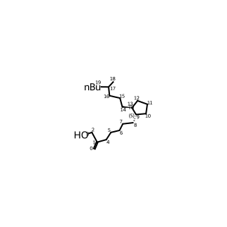 C=C(CO)CCCCC[C@H]1CCC[C@@H]1CCCC(C)CCCC